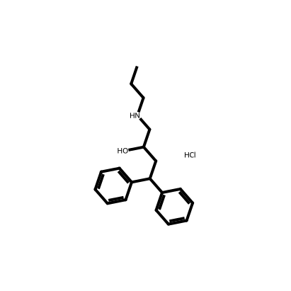 CCCNCC(O)CC(c1ccccc1)c1ccccc1.Cl